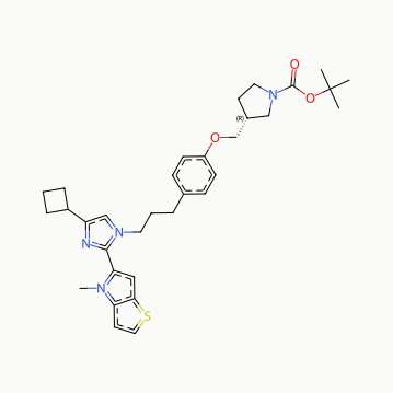 Cn1c(-c2nc(C3CCC3)cn2CCCc2ccc(OC[C@@H]3CCN(C(=O)OC(C)(C)C)C3)cc2)cc2sccc21